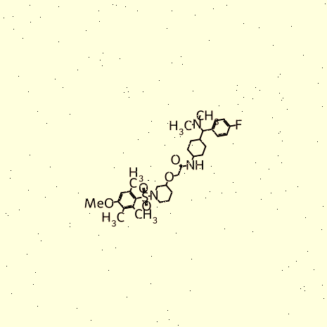 COc1cc(C)c(S(=O)(=O)N2CCCC(OCC(=O)NC3CCC(C(c4ccc(F)cc4)N(C)C)CC3)C2)c(C)c1C